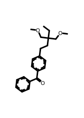 CCC(CCc1ccc(C(=O)c2ccccc2)cc1)(COC)COC